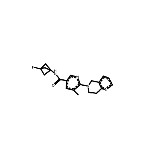 Cc1cc(C(=O)NC23CC(F)(C2)C3)cnc1N1CCc2ncccc2C1